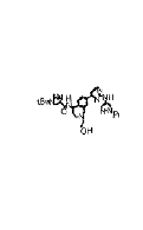 CC(C)n1cc(Nc2nccc(-c3ccc4c(c3)CN(CCO)CCC4NC(=O)c3cn(C(C)(C)C)nn3)n2)cn1